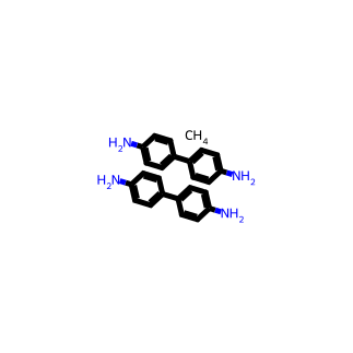 C.Nc1ccc(-c2ccc(N)cc2)cc1.Nc1ccc(-c2ccc(N)cc2)cc1